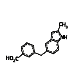 Cc1cc2cc(Cc3cccc(C(=O)O)c3)ccc2[nH]1